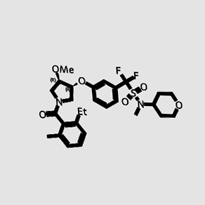 CCc1cccc(C)c1C(=O)N1C[C@@H](OC)[C@H](Oc2cccc(C(F)(F)S(=O)(=O)N(C)C3CCOCC3)c2)C1